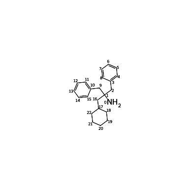 NC(Cc1ccccc1)(Cc1ccccc1)CC1CCCCC1